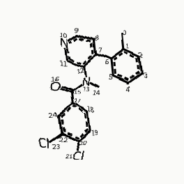 Cc1ccccc1-c1ccncc1N(C)C(=O)c1ccc(Cl)c(Cl)c1